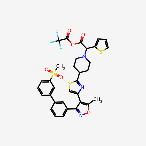 Cc1onc(-c2cccc(-c3cccc(S(C)(=O)=O)c3)c2)c1-c1csc(C2CCN(C(C(=O)OC(=O)C(F)(F)F)c3cccs3)CC2)n1